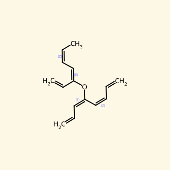 C=C/C=C\C(=C/C=C)O/C(C=C)=C/C=C\C